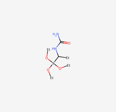 CCO[Si](OCC)(OCC)C(CC)NC(N)=O